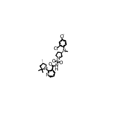 C[C@@H]1CN(c2ncccc2C(=O)NS(=O)(=O)N2CC[C@@H](N(C)c3ccc(Cl)cc3Cl)C2)C(C)(C)C1